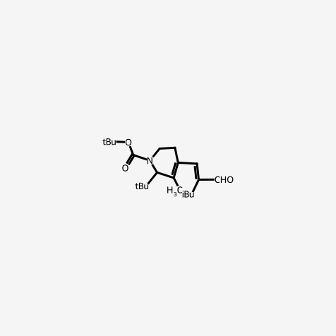 CCC(C)/C(C=O)=C\C1=C(C)C(C(C)(C)C)N(C(=O)OC(C)(C)C)CC1